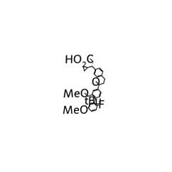 COc1ccc(F)c(-c2ccc(C3CCc4ccc([C@@H](CC(=O)O)C5CC5)cc4O3)cc2C(OC)C(C)(C)C)c1